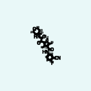 Cc1c(C(=O)Nc2ccc(F)c(C#N)c2)c(C)n(C)c1C(=O)C(=O)NC1(C)CCOCC1